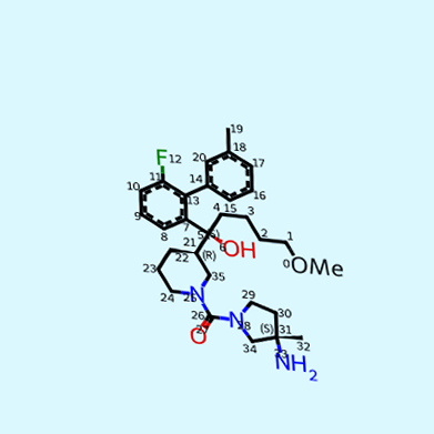 COCCCC[C@@](O)(c1cccc(F)c1-c1cccc(C)c1)[C@@H]1CCCN(C(=O)N2CC[C@](C)(N)C2)C1